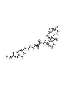 NC(=O)OC1CCN(CCCCCNC(=O)COc2cccc3c2C(=O)N(C2CCC(=O)NC2=O)C3=O)CC1